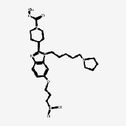 CCN(CC)CCCOc1ccc2nc(C3CCN(C(=O)OC(C)(C)C)CC3)n(CCCCCN3CCCC3)c2c1